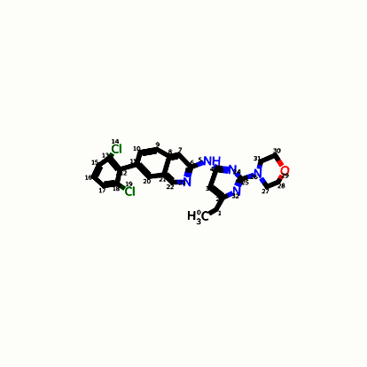 CCc1cc(Nc2cc3ccc(-c4c(Cl)cccc4Cl)cc3cn2)nc(N2CCOCC2)n1